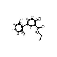 CCOC(=O)c1cc(-c2c(C)cccc2C)ccc1Cl